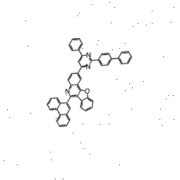 c1ccc(-c2ccc(-c3nc(-c4ccccc4)cc(-c4ccc5nc(-c6cc7ccccc7c7ccccc67)c6c7ccccc7oc6c5c4)n3)cc2)cc1